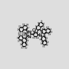 c1ccc2cc3c(cc2c1)oc1c(-c2nc(-c4cccc5ccccc45)nc(-c4cc5ccccc5c5ccccc45)n2)ccc(-n2c4cc5ccccc5cc4c4c5ccccc5ccc42)c13